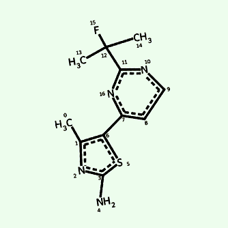 Cc1nc(N)sc1-c1ccnc(C(C)(C)F)n1